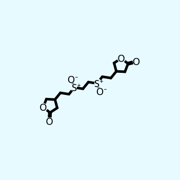 O=C1CC(CC[S+]([O-])CC[S+]([O-])CCC2COC(=O)C2)CO1